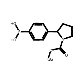 CC(C)(C)OC(=O)N1CCCC1c1ccc(B(O)O)cc1